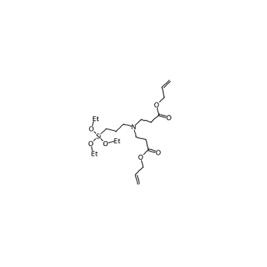 C=CCOC(=O)CCN(CCC[Si](OCC)(OCC)OCC)CCC(=O)OCC=C